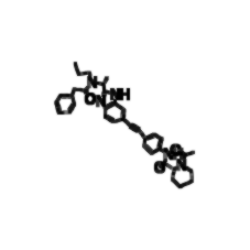 CCCN(C(=O)Cc1ccccc1)[C@@H](C)c1nc2ccc(C#Cc3ccc(NC(=O)[C@@H]4CCCCN4C(C)=O)cc3)cc2[nH]1